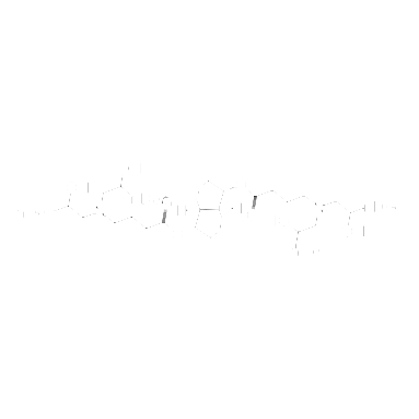 CCCCCCCCCCC(O)CN(CCCC(=O)O[C@H]1CO[C@H]2[C@@H]1OC[C@H]2OC(=O)CCCN(CC(O)CCCCCCCCCC)CC(O)CCCCCCCCCC)CC(O)CCCCCCCCCC